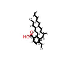 CCCCCCCCC(C)Cc1c(CC)ccc(C(=O)O)c1CCCCCC